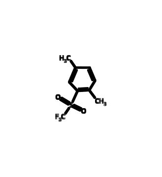 Cc1ccc(C)c(S(=O)(=O)C(F)(F)F)c1